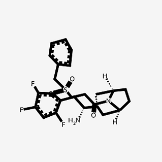 N[C@H](Cc1cc(F)c(F)cc1F)[C@@H]1C[C@H]2CC[C@@H](C1)N2C(=O)CCS(=O)(=O)Cc1ccccc1